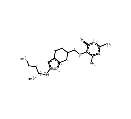 Nc1nc(N)c(SCC2CCc3cc(N[C@@H](CCC(=O)O)C(=O)O)sc3C2)c(=O)[nH]1